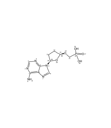 Nc1ncnc2c1ncn2[C@H]1CC[C@@H](OCP(=O)(O)O)O1